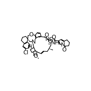 CO[C@H]1/C=C/C[C@H](C)CS(=O)(NC(=O)c2cc3n(c2)C(=O)CCC3)=NC(=O)c2ccc3c(c2)N(C[C@@H]2CC[C@H]21)C[C@@]1(CCCc2cc(Cl)ccc21)CO3